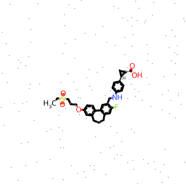 CCS(=O)(=O)CCCOc1ccc2c(c1)CCCc1cc(F)c(CNc3ccc([C@H]4C[C@@H]4C(=O)O)cc3)cc1-2